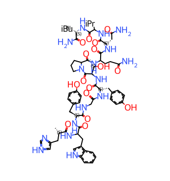 CC[C@@H](C)[C@H](NC(=O)C(NC(=O)[C@H](CC(N)=O)NC(=O)C(CCC(N)=O)NC(=O)C1CCCN1C(=O)C(NC(=O)[C@H](Cc1ccc(O)cc1)NC(=O)CNC(=O)[C@H](Cc1ccc(O)cc1)NC(=O)C(Cc1c[nH]c2ccccc12)NC(=O)[C@@H](C)Cc1c[nH]cn1)[C@H](C)O)C(C)C)C(N)=O